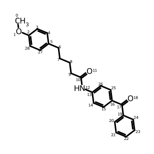 COc1ccc(CCCCC(=O)Nc2ccc(C(=O)c3ccccc3)cc2)cc1